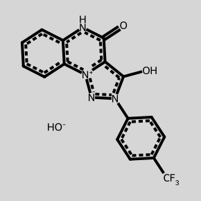 O=c1[nH]c2ccccc2[n+]2nn(-c3ccc(C(F)(F)F)cc3)c(O)c12.[OH-]